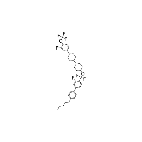 CCCCCc1ccc(-c2ccc(C(F)(F)OC3CCC(C4CCC(c5ccc(OC(F)(F)F)c(F)c5)CC4)CC3)c(F)c2)cc1